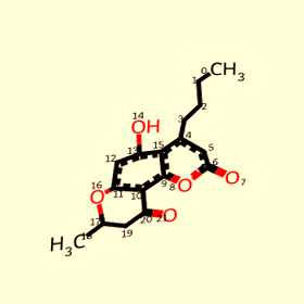 CCCCc1cc(=O)oc2c3c(cc(O)c12)OC(C)CC3=O